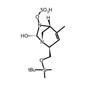 CC1=C[C@@H](CO[Si](C)(C)C(C)(C)C)[N@@]2C[C@@H]1N(OS(=O)(=O)O)[C@H]2O